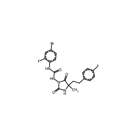 CC1(CCc2ccc(F)cc2)NC(=O)N(NC(=O)Nc2ccc(Br)cc2F)C1=O